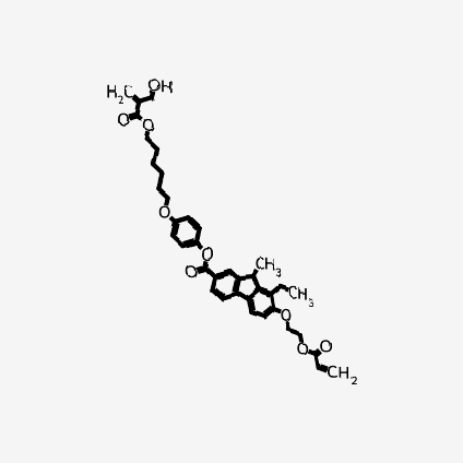 C=CC(=O)OCCOc1ccc2c(c1CC)C(C)c1cc(C(=O)Oc3ccc(OCCCCCCOC(=O)C(=C)CO)cc3)ccc1-2